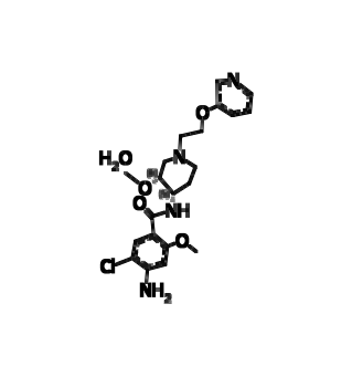 COc1cc(N)c(Cl)cc1C(=O)N[C@H]1CCN(CCOc2cccnc2)C[C@H]1OC.O